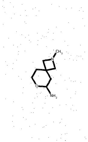 CN1CC2(CCOC(N)C2)C1